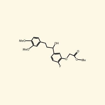 COc1ccc(CCC(O)c2ccc(F)c(OCC(=O)OC(C)(C)C)c2)cc1OC